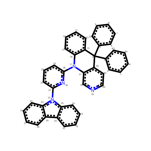 c1ccc(C2(c3ccccc3)c3ccccc3N(c3cccc(-n4c5ccccc5c5ccccc54)n3)c3cnccc32)cc1